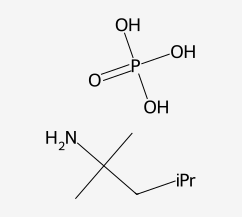 CC(C)CC(C)(C)N.O=P(O)(O)O